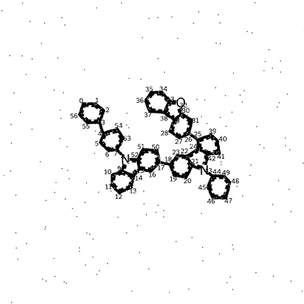 c1ccc(-c2ccc(-n3c4ccccc4c4cc(-c5ccc6c(c5)c5c(-c7ccc8c(c7)oc7ccccc78)cccc5n6-c5ccccc5)ccc43)cc2)cc1